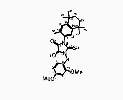 COc1ccc(CN2C(=O)C(=O)N(c3cc4c(cc3C)C(C)(C)CCC4(C)C)C2=S)c(OC)c1